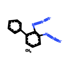 C.[N-]=[N+]=Nc1cccc(-c2ccccc2)c1N=[N+]=[N-]